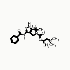 CC(CN(C)C)OC(=O)N1Cc2c(NC(=O)c3ccccc3)n[nH]c2C1(C)C